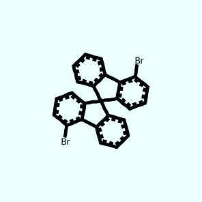 Brc1cccc2c1-c1ccccc1C21c2ccccc2-c2c(Br)cccc21